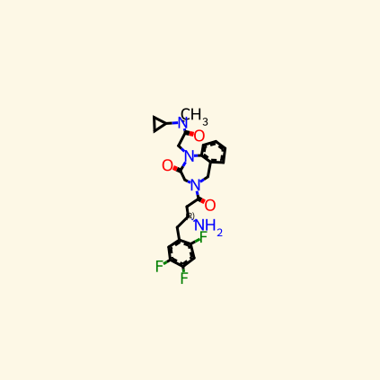 CN(C(=O)CN1C(=O)CN(C(=O)C[C@H](N)Cc2cc(F)c(F)cc2F)Cc2ccccc21)C1CC1